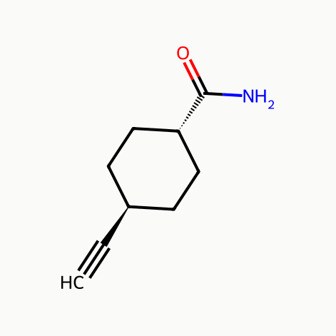 C#C[C@H]1CC[C@H](C(N)=O)CC1